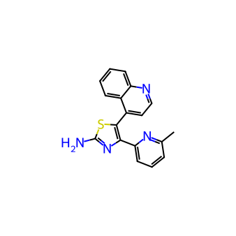 Cc1cccc(-c2nc(N)sc2-c2ccnc3ccccc23)n1